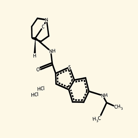 CC(C)Nc1ccc2cc(C(=O)N[C@H]3CN4CCC3CC4)sc2c1.Cl.Cl